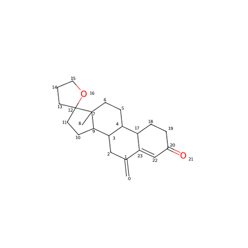 C=C1CC2C(CCC3(C)C2CCC32CCCO2)C2CCC(=O)C=C12